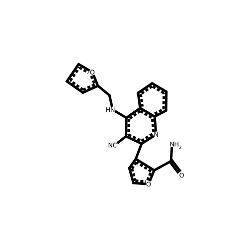 N#Cc1c(-c2ccoc2C(N)=O)nc2ccccc2c1NCc1ccco1